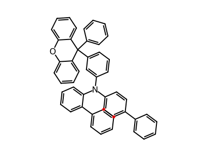 c1ccc(-c2ccc(N(c3cccc(C4(c5ccccc5)c5ccccc5Oc5ccccc54)c3)c3ccccc3-c3ccccc3)cc2)cc1